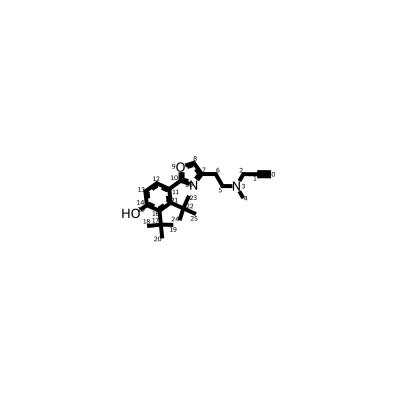 C#CCN(C)CCc1coc(-c2ccc(O)c(C(C)(C)C)c2C(C)(C)C)n1